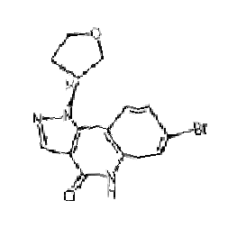 O=c1[nH]c2cc(Br)ccc2c2c1cnn2[C@H]1CCOC1